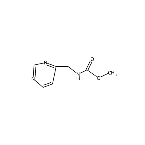 COC(=O)NCc1ccncn1